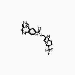 O=C(NCc1cn2cc(C(F)(F)F)ccc2n1)c1ccc2ncc3cncn3c2c1